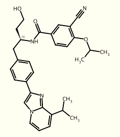 CC(C)Oc1ccc(C(=O)N[C@H](CCO)Cc2ccc(-c3cn4cccc(C(C)C)c4n3)cc2)cc1C#N